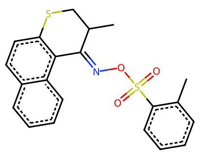 Cc1ccccc1S(=O)(=O)O/N=C1/c2c(ccc3ccccc23)SCC1C